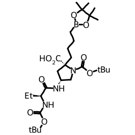 CC[C@H](NC(=O)OC(C)(C)C)C(=O)N[C@H]1CN(C(=O)OC(C)(C)C)[C@@](CCCCB2OC(C)(C)C(C)(C)O2)(C(=O)O)C1